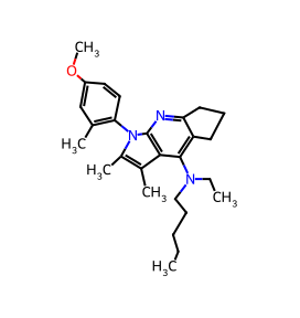 CCCCCN(CC)c1c2c(nc3c1c(C)c(C)n3-c1ccc(OC)cc1C)CCC2